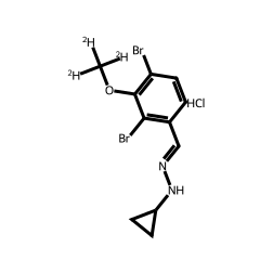 Cl.[2H]C([2H])([2H])Oc1c(Br)ccc(/C=N/NC2CC2)c1Br